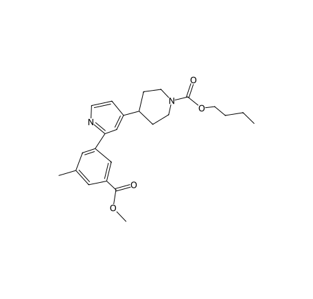 CCCCOC(=O)N1CCC(c2ccnc(-c3cc(C)cc(C(=O)OC)c3)c2)CC1